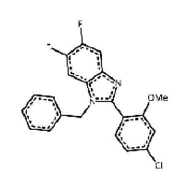 COc1cc(Cl)ccc1-c1nc2cc(F)c(F)cc2n1Cc1ccccc1